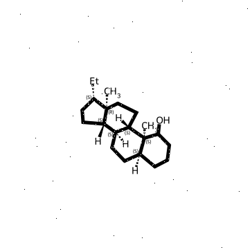 CC[C@H]1CC[C@H]2[C@@H]3CC[C@@H]4CCCC(O)[C@]4(C)[C@H]3CC[C@]12C